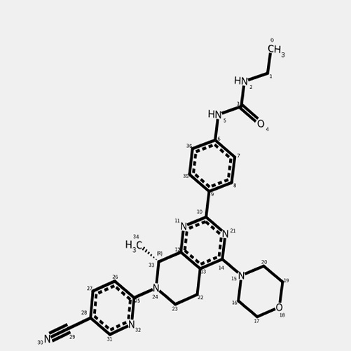 CCNC(=O)Nc1ccc(-c2nc3c(c(N4CCOCC4)n2)CCN(c2ccc(C#N)cn2)[C@@H]3C)cc1